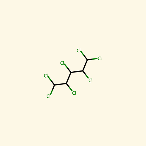 ClC(Cl)C(Cl)C(Cl)C(Cl)C(Cl)Cl